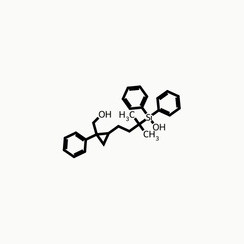 CC(C)(CCC1CC1(CO)c1ccccc1)[Si](O)(c1ccccc1)c1ccccc1